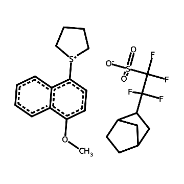 COc1ccc([S+]2CCCC2)c2ccccc12.O=S(=O)([O-])C(F)(F)C(F)(F)C1CC2CCC1C2